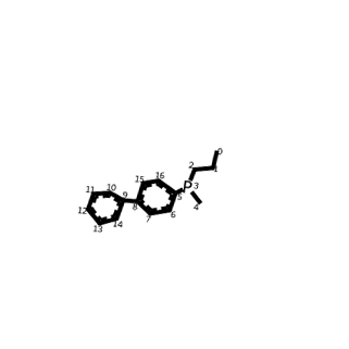 CCCP(C)c1ccc(-c2ccccc2)cc1